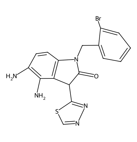 Nc1ccc2c(c1N)C(c1nncs1)C(=O)N2Cc1ccccc1Br